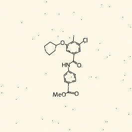 COC(=O)c1ccc(NC(=O)c2cc(Cl)c(C)c(OC3CCCCC3)c2)cc1